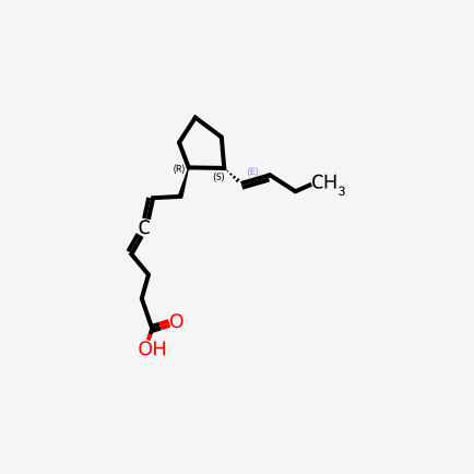 CC/C=C/[C@H]1CCC[C@@H]1CC=C=CCCC(=O)O